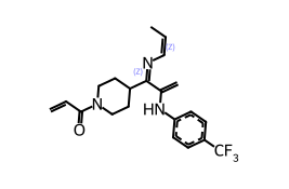 C=CC(=O)N1CCC(/C(=N/C=C\C)C(=C)Nc2ccc(C(F)(F)F)cc2)CC1